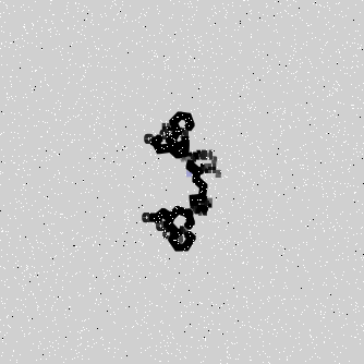 C[C@]12OC(=O)C=C1CC(n1cc(CC/C(N)=C/N(N)[C@@H]3CC4=CC(=O)OC45CC3N3CCCC[C@@H]35)nn1)CN1CCCCC12